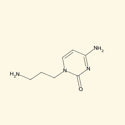 NCCCn1ccc(N)nc1=O